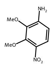 COc1c(N)ccc([N+](=O)[O-])c1OC